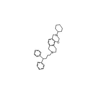 c1ccc(C(CCCN2CCc3c(ccc4c3OCN(C3CCCCC3)C4)C2)c2ccccc2)cc1